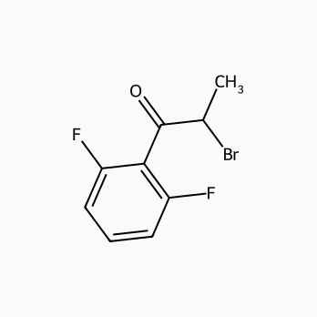 CC(Br)C(=O)c1c(F)cccc1F